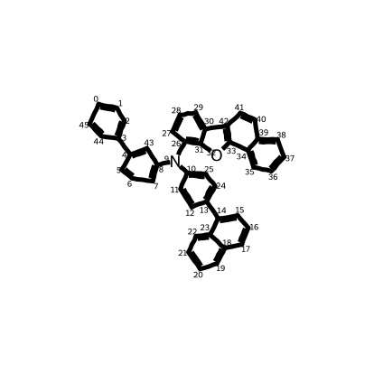 c1ccc(-c2cccc(N(c3ccc(-c4cccc5ccccc45)cc3)c3cccc4c3oc3c5ccccc5ccc43)c2)cc1